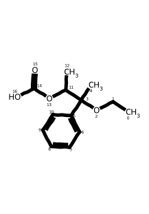 CCOC(C)(c1ccccc1)C(C)OC(=O)O